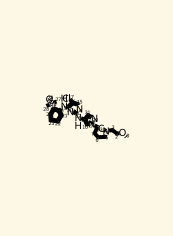 COCCN1CCCC(n2cc(Nc3ncc(Cl)c(Nc4ccccc4P(C)(C)=O)n3)cn2)C1